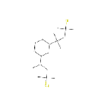 CC(CC(C)(C)S)C1CCCC(C(C)(C)CC(C)(C)S)C1